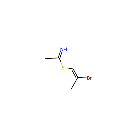 CC(=N)S/C=C(\C)Br